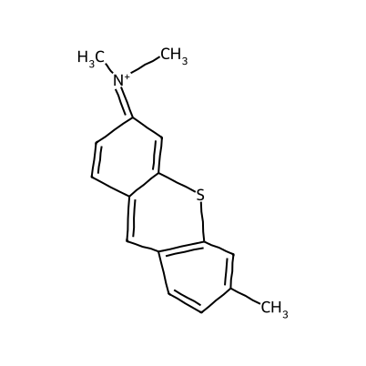 Cc1ccc2cc3ccc(=[N+](C)C)cc-3sc2c1